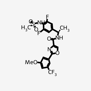 COc1cc(-c2nc(C(=O)N[C@H](C)c3cc(F)c(NS(C)(=O)=O)c(F)c3)co2)cc(C(F)(F)F)c1